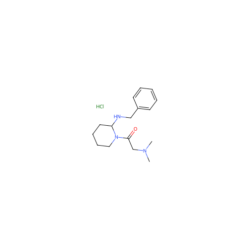 CN(C)CC(=O)N1CCCCC1NCc1ccccc1.Cl